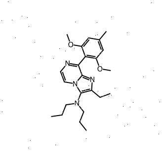 CCCN(CCC)c1c(CC)nc2c(-c3c(OC)cc(C)cc3OC)nccn12